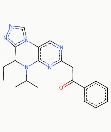 CCC1c2nncn2-c2cnc(CC(=O)c3ccccc3)nc2N1C(C)C